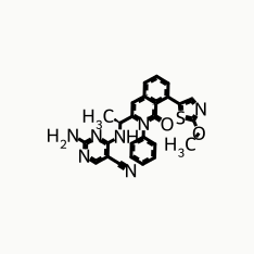 COc1ncc(-c2cccc3cc([C@H](C)Nc4nc(N)ncc4C#N)n(-c4ccccc4)c(=O)c23)s1